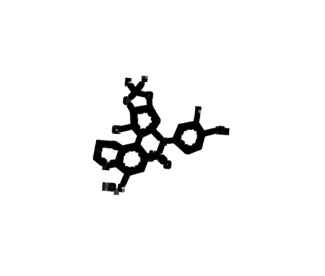 CC(C)(C)c1ccc(N(c2cc3c(c(Cl)c2-c2ccc(C(=O)O)c4ncccc24)OC(F)(F)O3)[SH](=O)=O)cc1F